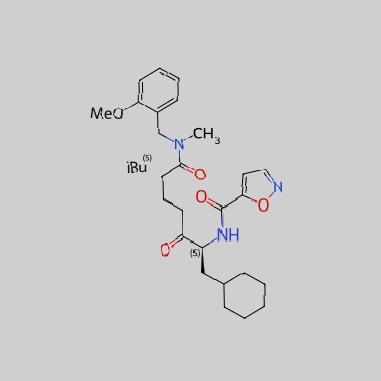 CC[C@H](C)C(CCC(=O)[C@H](CC1CCCCC1)NC(=O)c1ccno1)C(=O)N(C)Cc1ccccc1OC